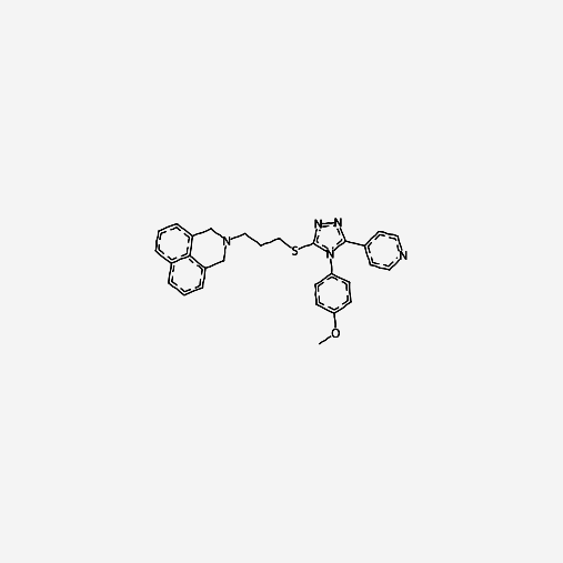 COc1ccc(-n2c(SCCCN3Cc4cccc5cccc(c45)C3)nnc2-c2ccncc2)cc1